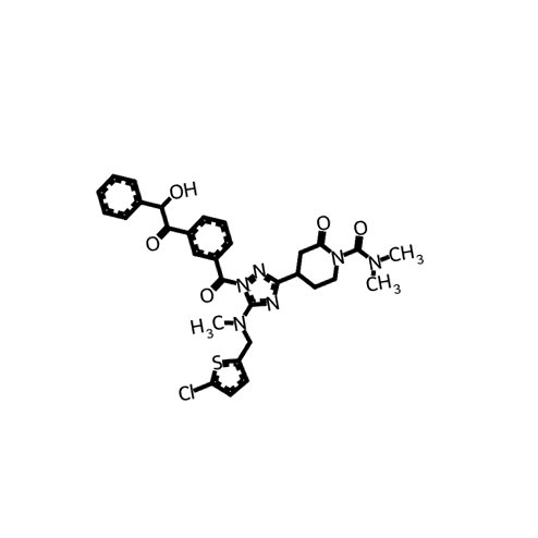 CN(C)C(=O)N1CCC(c2nc(N(C)Cc3ccc(Cl)s3)n(C(=O)c3cccc(C(=O)C(O)c4ccccc4)c3)n2)CC1=O